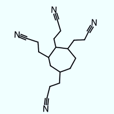 N#CCCC1CCC(CCC#N)C(CCC#N)C(CCC#N)C1